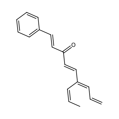 C=C/C=C(\C=C/C)/C=C/C(=O)/C=C/c1ccccc1